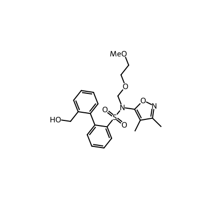 COCCOCN(c1onc(C)c1C)S(=O)(=O)c1ccccc1-c1ccccc1CO